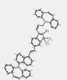 CCC1=C(/C=C\CN2c3ccccc3C=Cc3ccccc32)c2ccc(/C=C/c3cccc4c(N5c6ccccc6C=Cc6ccccc65)cccc34)cc2C1(C)C